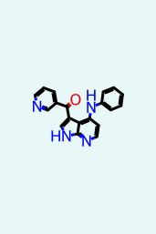 O=C(c1cccnc1)c1c[nH]c2nccc(Nc3ccccc3)c12